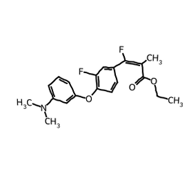 CCOC(=O)C(C)=C(F)c1ccc(Oc2cccc(N(C)C)c2)c(F)c1